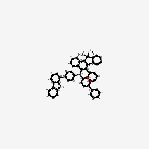 CC1(C)c2ccccc2-c2c(-c3ccccc3)c(N(c3ccc(-c4ccccc4)cc3)c3ccc(-c4cccc5c4sc4ccccc45)cc3)c3ccccc3c21